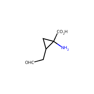 NC1(C(=O)O)CC1CC=O